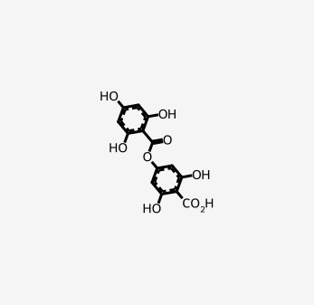 O=C(O)c1c(O)cc(OC(=O)c2c(O)cc(O)cc2O)cc1O